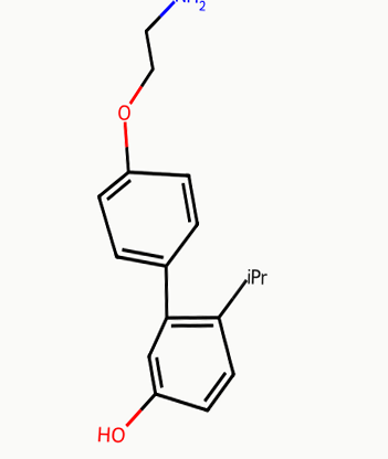 CC(C)c1ccc(O)cc1-c1ccc(OCCN)cc1